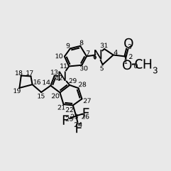 COC(=O)C1CN(c2cccc(-n3cc(CC4CCC4)c4cc(C(F)(F)F)ccc43)c2)C1